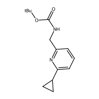 CC(C)(C)OC(=O)NCc1cccc(C2CC2)n1